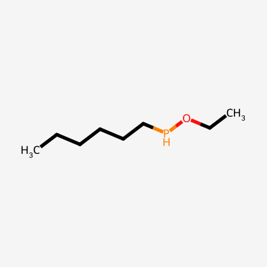 CCCCCCPOCC